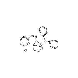 Clc1cccc(/C=N\C2C3CCN(CC3)C2C(c2ccccc2)c2ccccc2)c1